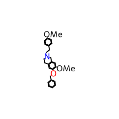 COc1ccc(CCN2CCc3cc(OCc4ccccc4)c(OC)cc3C2)cc1